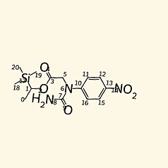 CC(OC(=O)CN(C(N)=O)c1ccc([N+](=O)[O-])cc1)[Si](C)(C)C